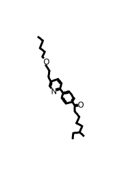 CCCCCOCCCc1ccc(-c2ccc(C(=O)CCCCC(C)CC)cc2)nc1